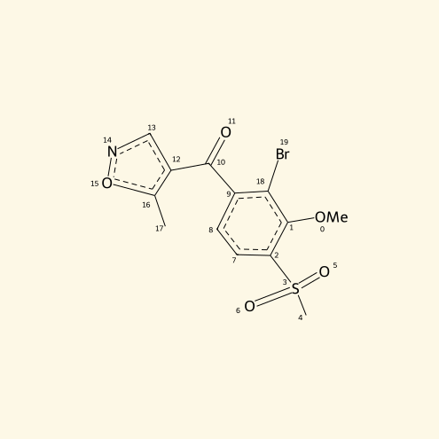 COc1c(S(C)(=O)=O)ccc(C(=O)c2cnoc2C)c1Br